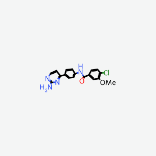 COc1cc(C(=O)Nc2ccc(-c3ccnc(N)n3)cc2)ccc1Cl